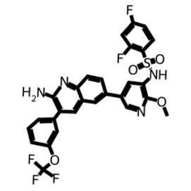 COc1ncc(-c2ccc3nc(N)c(-c4cccc(OC(F)(F)F)c4)cc3c2)cc1NS(=O)(=O)c1ccc(F)cc1F